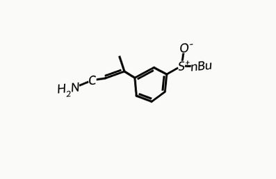 CCCC[S+]([O-])c1cccc(C(C)=CCN)c1